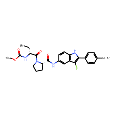 CC(=O)Nc1ccc(-c2[nH]c3ccc(NC(=O)[C@@H]4CCCN4C(=O)[C@@H](CC(C)C)NC(=O)OC(C)(C)C)cc3c2F)cc1